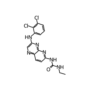 CCNC(=O)Nc1ccc2ncc(Nc3cccc(Cl)c3Cl)nc2n1